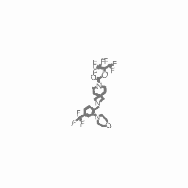 O=C(OC(C(F)(F)F)C(F)(F)F)N1CCC2(CC1)CN(Cc1ccc(C(F)(F)F)cc1N1CCOCC1)C2